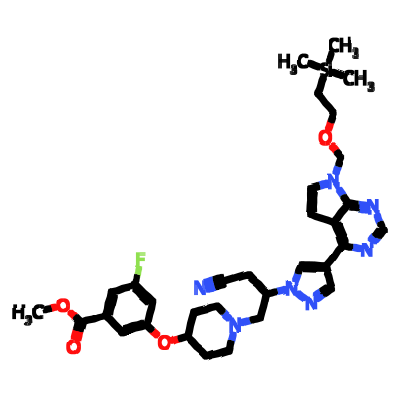 COC(=O)c1cc(F)cc(OC2CCN(CC(CC#N)n3cc(-c4ncnc5c4ccn5COCC[Si](C)(C)C)cn3)CC2)c1